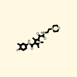 Cc1cc(NC(=O)c2c(C)c(C(=O)C(=O)NCCN3CCOCC3)n(C)c2C)ccc1F